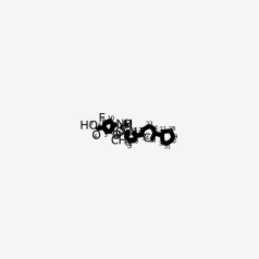 COc1cc(C(=O)O)c(F)cc1NS(=O)(=O)c1cccc(C2CCCC(C3CCCCCC3)CC2)n1